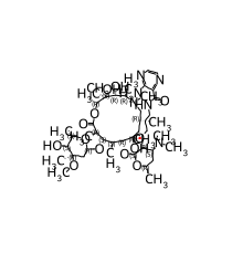 CC[C@H]1OC(=O)[C@H](C)[C@@H](O[C@H]2C[C@@](C)(OC)[C@@H](O)[C@H](C)O2)[C@H](C)[C@@H](O[C@@H]2O[C@H](C)C[C@H](N(C)C)[C@H]2OCCCNC(=O)c2nccnc2N)[C@](C)(O)C[C@@H](C)CN(C)[C@H](C)[C@@H](O)[C@]1(C)O